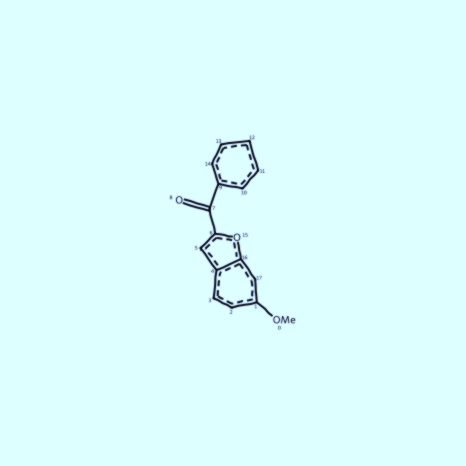 COc1ccc2[c]c(C(=O)c3ccccc3)oc2c1